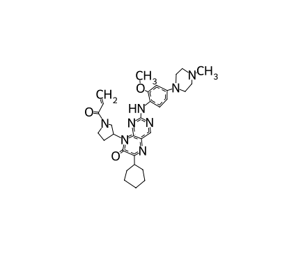 C=CC(=O)N1CCC(n2c(=O)c(C3CCCCC3)nc3cnc(Nc4ccc(N5CCN(C)CC5)cc4OC)nc32)C1